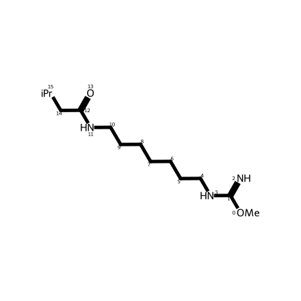 COC(=N)NCCCCCCCNC(=O)CC(C)C